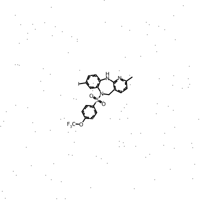 Cc1ccc2c(n1)Nc1ccc(I)cc1N(S(=O)(=O)c1ccc(OC(F)(F)F)cc1)C2